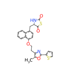 Cc1oc(-c2cccs2)nc1CCOc1ccc(CC2NC(=O)SC2=O)c2ccccc12